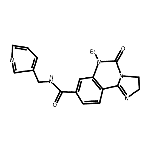 CCN1C(=O)N2CCN=C2c2ccc(C(=O)NCc3cccnc3)cc21